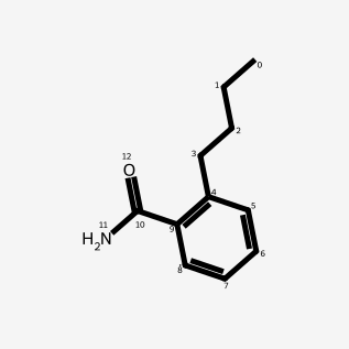 CCCCc1ccc[c]c1C(N)=O